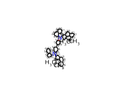 CC1(C)c2cccc3ccc4cc(N(c5ccc(-c6ccc(N(c7cc8c9c(ccc%10cccc(c%109)C8(C)C)c7)c7cccc8ccccc78)cc6)cc5)c5cccc6ccccc56)cc1c4c23